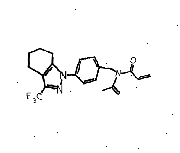 C=CC(=O)N(Cc1ccc(-n2nc(C(F)(F)F)c3c2CCCC3)cc1)C(=C)C